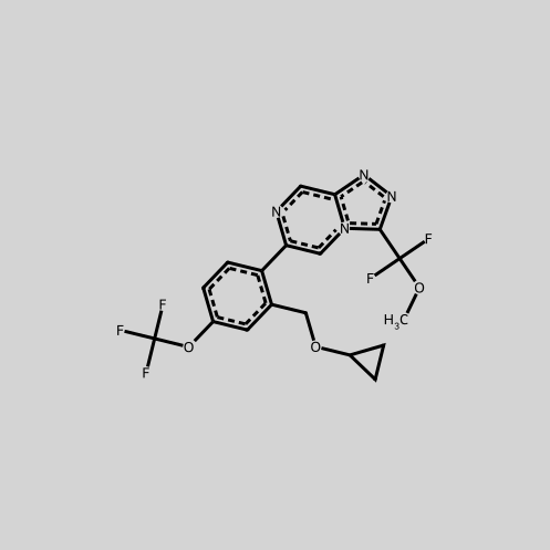 COC(F)(F)c1nnc2cnc(-c3ccc(OC(F)(F)F)cc3COC3CC3)cn12